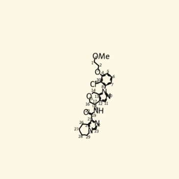 COCCOc1cccc(-n2ncc3c2COC[C@H]3NC(=O)c2ncn3c2CCCC3)c1Cl